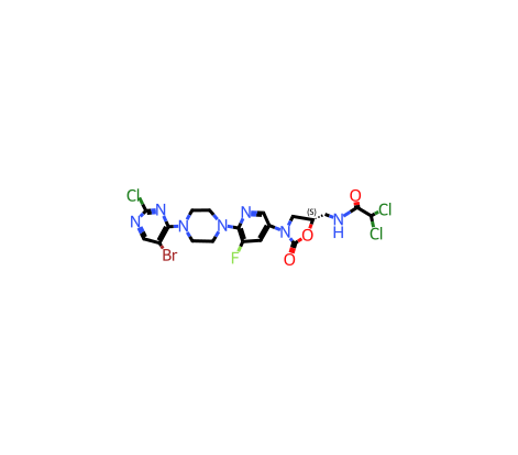 O=C(NC[C@H]1CN(c2cnc(N3CCN(c4nc(Cl)ncc4Br)CC3)c(F)c2)C(=O)O1)C(Cl)Cl